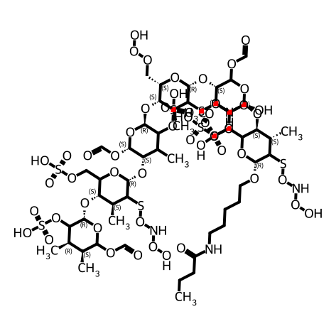 CCCC(=O)NCCCCCO[C@@H]1OC(COS(=O)(=O)O)[C@@H](O[C@@H]2OC(OC=O)[C@@H](O[C@H]3O[C@@H](COOO)[C@@H](O[C@@H]4O[C@@H](OC=O)[C@@H](O[C@H]5OC(COS(=O)(=O)O)[C@@H](O[C@@H]6OC(OC=O)[C@@H](C)[C@@H](C)C6OS(=O)(=O)O)[C@H](C)C5SONOO)C(C)C4OS(=O)(=O)O)C(C)C3SONOO)[C@@H](C)C2OS(=O)(=O)O)[C@H](C)C1SONOO